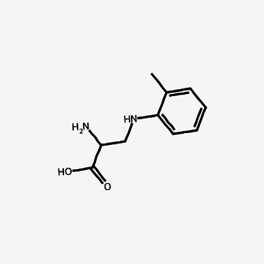 Cc1ccccc1NCC(N)C(=O)O